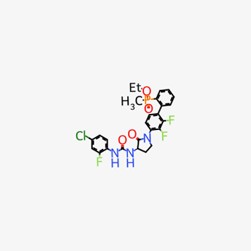 CCOP(C)(=O)c1ccccc1-c1ccc(N2CC[C@@H](NC(=O)Nc3ccc(Cl)cc3F)C2=O)c(F)c1F